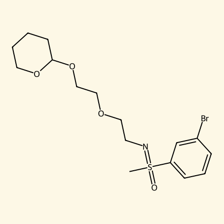 CS(=O)(=NCCOCCOC1CCCCO1)c1cccc(Br)c1